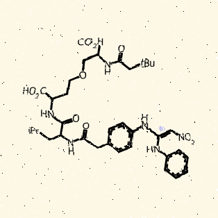 CC(C)CC(NC(=O)Cc1ccc(N/C(=C/[N+](=O)[O-])Nc2ccccc2)cc1)C(=O)NC(CCOCC(NC(=O)CC(C)(C)C)C(=O)O)C(=O)O